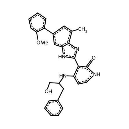 COc1ccccc1-c1cc(C)c2nc(-c3c(NC(CO)Cc4ccccc4)cc[nH]c3=O)[nH]c2c1